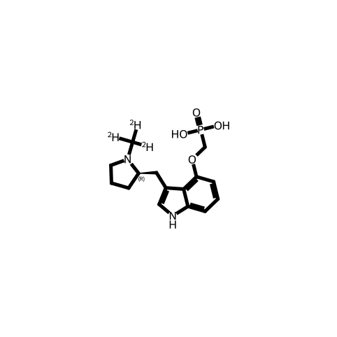 [2H]C([2H])([2H])N1CCC[C@@H]1Cc1c[nH]c2cccc(OCP(=O)(O)O)c12